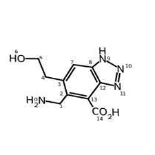 NCc1c(CCO)cc2[nH]nnc2c1C(=O)O